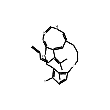 C=C/C=C\C(=C(C)C)c1cc2c[nH]cnnc1NCc1c(F)ccc(c1C)CCCC2